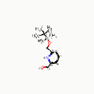 CC(C)(C)[Si](C)(C)OCc1cccc(C=O)n1